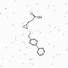 O=C(O)CC[C@@H]1C[C@H]1CCc1ccc(-c2ccccc2)cc1